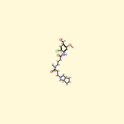 COc1cc(NC(=O)CCCN(C)C(=O)CCN2CC3CCCC3C2)c(Cl)cc1C=O